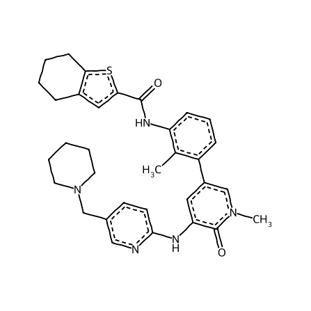 Cc1c(NC(=O)c2cc3c(s2)CCCC3)cccc1-c1cc(Nc2ccc(CN3CCCCC3)cn2)c(=O)n(C)c1